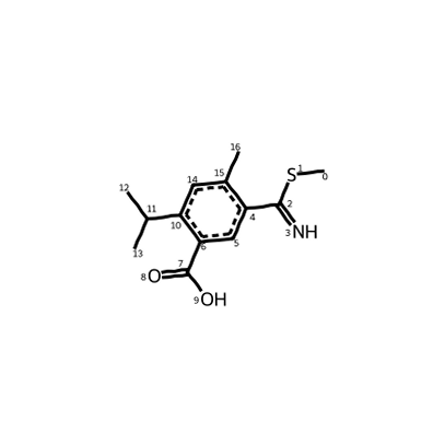 CSC(=N)c1cc(C(=O)O)c(C(C)C)cc1C